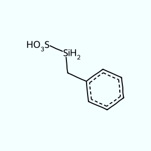 O=S(=O)(O)[SiH2]Cc1ccccc1